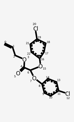 C=CCOC(=O)C(Oc1ccc(Cl)cc1)Oc1ccc(Cl)cc1